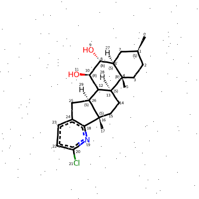 C[C@H]1CC[C@@]2(C)[C@H](C1)[C@@H](O)[C@H](O)C1[C@@H]2CC[C@]2(C)c3nc(Cl)ccc3C[C@@H]12